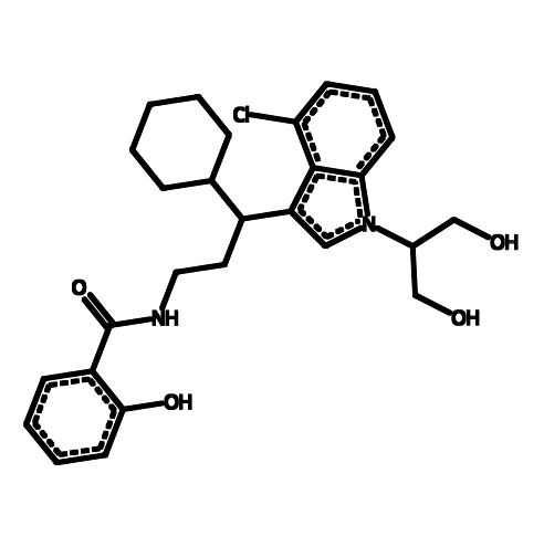 O=C(NCCC(c1cn(C(CO)CO)c2cccc(Cl)c12)C1CCCCC1)c1ccccc1O